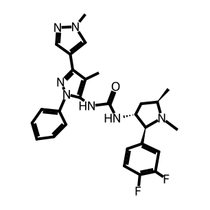 Cc1c(-c2cnn(C)c2)nn(-c2ccccc2)c1NC(=O)N[C@@H]1C[C@@H](C)N(C)[C@H]1c1ccc(F)c(F)c1